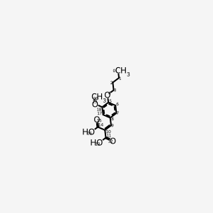 CCCCOc1ccc(C=C(C(=O)O)C(=O)O)cc1OC